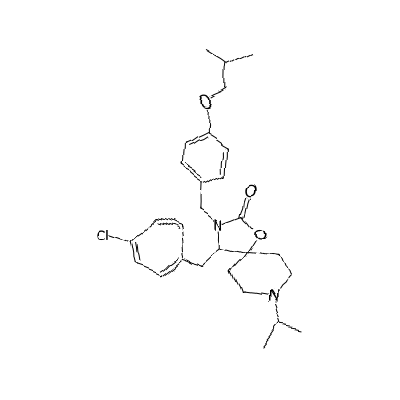 CC(C)COc1ccc(CN2C(=O)OC3(CCN(C(C)C)CC3)C2Cc2ccc(Cl)cc2)cc1